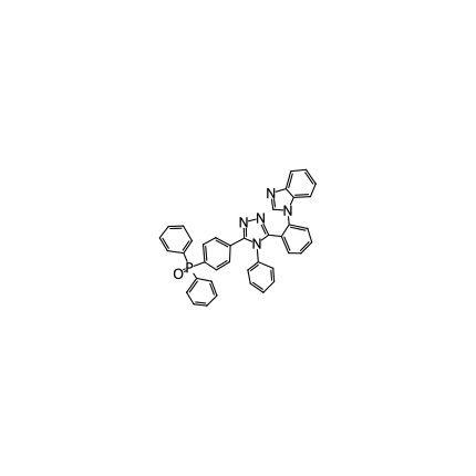 O=P(c1ccccc1)(c1ccccc1)c1ccc(-c2nnc(-c3ccccc3-n3cnc4ccccc43)n2-c2ccccc2)cc1